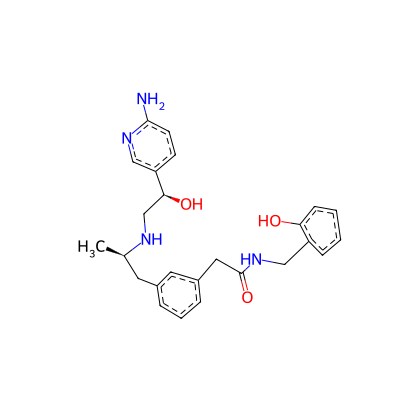 C[C@H](Cc1cccc(CC(=O)NCc2ccccc2O)c1)NC[C@H](O)c1ccc(N)nc1